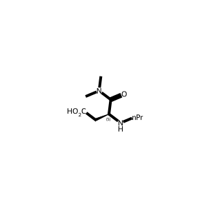 CCCN[C@@H](CC(=O)O)C(=O)N(C)C